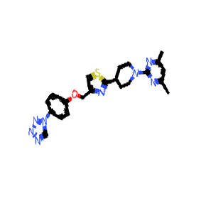 Cc1cc(C)nc(N2CCC(c3nc(COc4ccc(-n5cnnn5)cc4)cs3)CC2)n1